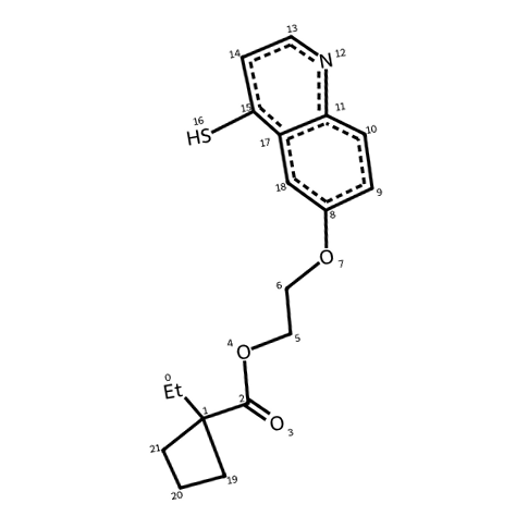 CCC1(C(=O)OCCOc2ccc3nccc(S)c3c2)CCC1